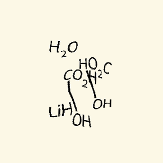 O.O=C(O)O.O=C(O)O.[LiH]